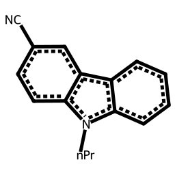 CCCn1c2ccccc2c2cc(C#N)ccc21